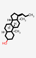 CC/C=C1/CC[C@H]2[C@@H]3CC[C@@H]4C[C@H](O)CC[C@]4(C)[C@H]3CC[C@]12C